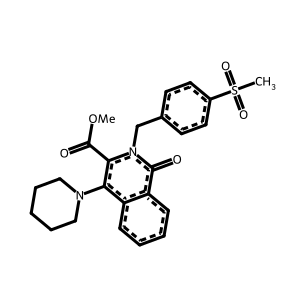 COC(=O)c1c(N2CCCCC2)c2ccccc2c(=O)n1Cc1ccc(S(C)(=O)=O)cc1